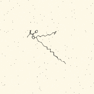 C=C(C)C(=O)OC(CCCCCCCF)CCCCCCCCCCCCCCC